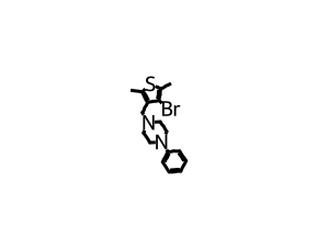 Cc1sc(C)c(CN2CCN(c3ccccc3)CC2)c1Br